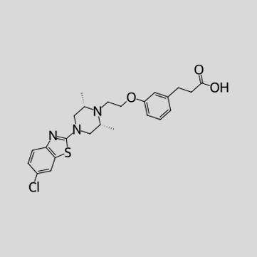 C[C@@H]1CN(c2nc3ccc(Cl)cc3s2)C[C@H](C)N1CCOc1cccc(CCC(=O)O)c1